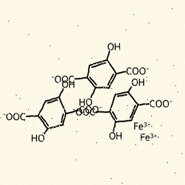 O=C([O-])c1cc(O)c(C(=O)[O-])cc1O.O=C([O-])c1cc(O)c(C(=O)[O-])cc1O.O=C([O-])c1cc(O)c(C(=O)[O-])cc1O.[Fe+3].[Fe+3]